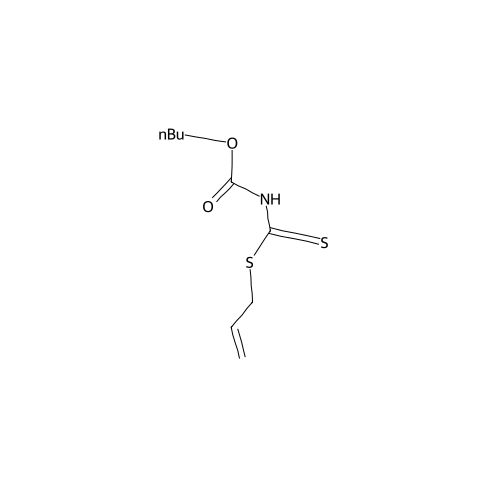 C=CCSC(=S)NC(=O)OCCCC